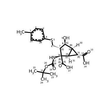 Cc1ccc(SC[C@@H]2[C@@H](O)[C@H]3[C@H](C(=O)O)[C@H]3[C@]2(NC(=O)OC(C)(C)C)C(=O)O)cc1